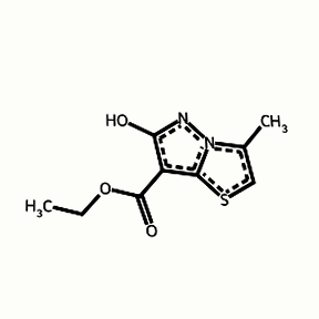 CCOC(=O)c1c(O)nn2c(C)csc12